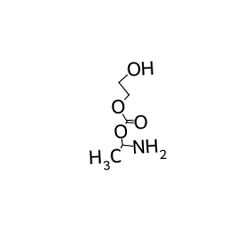 CC(N)OC(=O)OCCO